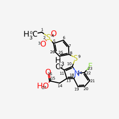 CCS(=O)(=O)c1ccc(Sc2c(C)c(CC(=O)O)c3cccc(F)n23)cc1